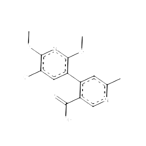 COc1nc(OC)c(-c2cc(C)ncc2C(=O)O)cc1Cl